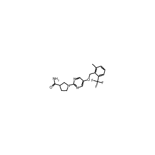 Cc1cccc(C(F)(F)F)c1COc1cnc(N2CCC(C(N)=O)C2)nc1